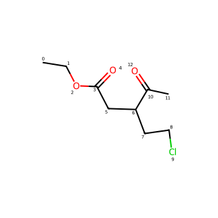 CCOC(=O)CC(CCCl)C(C)=O